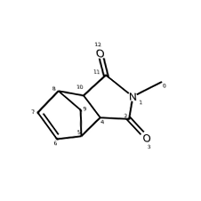 CN1C(=O)C2C3C=CC(C3)C2C1=O